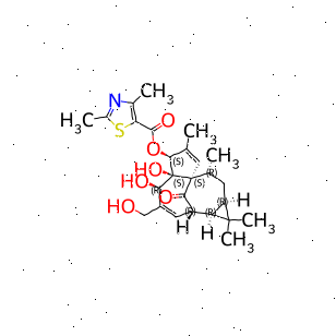 CC1=C[C@]23C(=O)[C@@H](C=C(CO)[C@@H](O)[C@]2(O)[C@H]1OC(=O)c1sc(C)nc1C)[C@H]1[C@@H](C[C@H]3C)C1(C)C